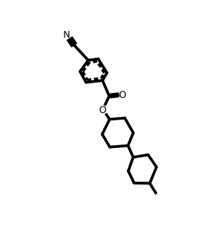 CC1CCC(C2CCC(OC(=O)c3ccc(C#N)cc3)CC2)CC1